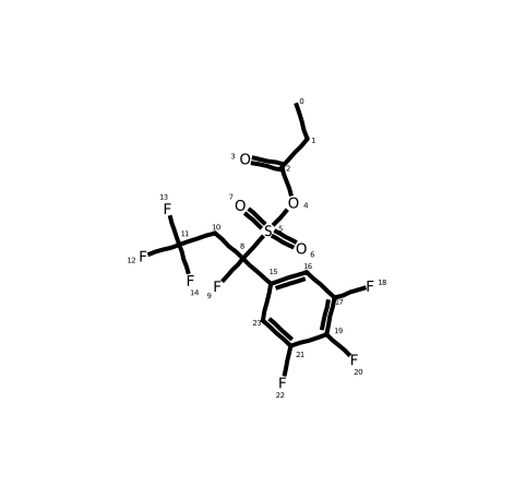 CCC(=O)OS(=O)(=O)C(F)(CC(F)(F)F)c1cc(F)c(F)c(F)c1